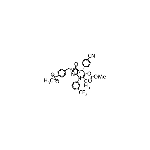 COC(=O)OC1=C(C)N(c2cccc(C(F)(F)F)c2)c2nn(Cc3ccc(S(C)(=O)=O)cc3)c(=O)n2[C@@H]1c1ccc(C#N)cc1